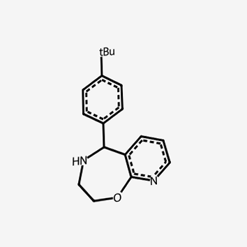 CC(C)(C)c1ccc(C2NCCOc3ncccc32)cc1